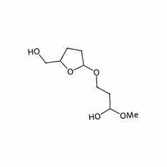 COC(O)CCOC1CCC(CO)O1